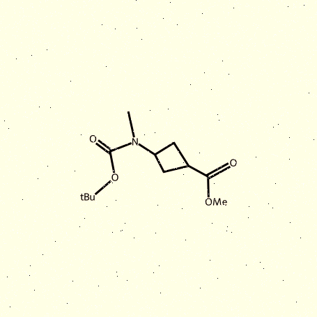 COC(=O)C1CC(N(C)C(=O)OC(C)(C)C)C1